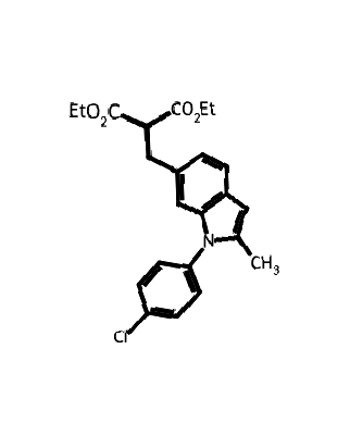 CCOC(=O)C(Cc1ccc2cc(C)n(-c3ccc(Cl)cc3)c2c1)C(=O)OCC